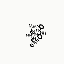 COc1ccccc1C(=O)Nc1ccc(Sc2nc(Nc3cc(C)n[nH]3)cc(N3CCC3)n2)cc1